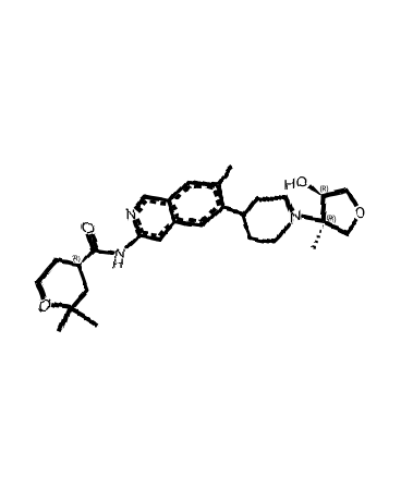 Cc1cc2cnc(NC(=O)[C@@H]3CCOC(C)(C)C3)cc2cc1C1CCN([C@]2(C)COC[C@@H]2O)CC1